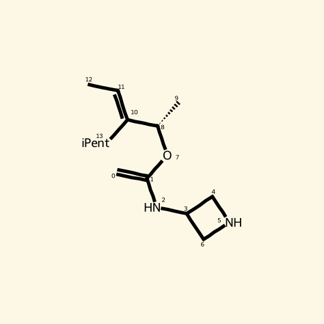 C=C(NC1CNC1)O[C@@H](C)/C(=C/C)C(C)CCC